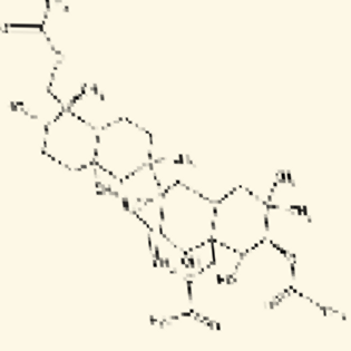 C=CCC1[C@@]2(C)CC[C@H](O)[C@](C)(COC(C)=O)C2CC[C@@]1(C)[C@@]1(C)CC2CC(C)(C)[C@@H](OC(C)=O)[C@H](O)[C@]2(COC(C)=O)[C@H](O)C1